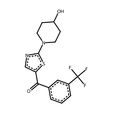 O=C(c1cccc(C(F)(F)F)c1)c1cnc(N2CCC(O)CC2)s1